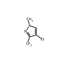 CCc1cn(C)nc1C(F)(F)F